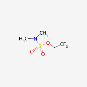 CN(C)S(=O)(=O)OCC(F)(F)F